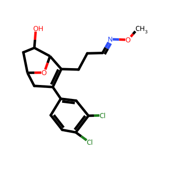 CON=CCCC1=C(c2ccc(Cl)c(Cl)c2)CC2CC(O)C1O2